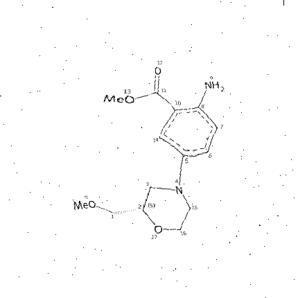 COC[C@@H]1CN(c2ccc(N)c(C(=O)OC)c2)CCO1